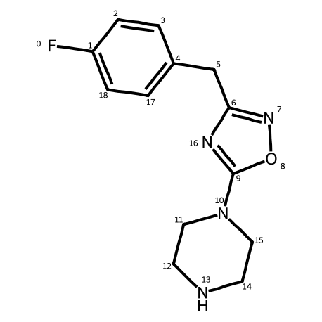 Fc1ccc(Cc2noc(N3CCNCC3)n2)cc1